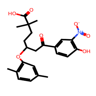 Cc1ccc(C)c(OC(CCC(C)(C)C(=O)O)CC(=O)c2ccc(O)c([N+](=O)[O-])c2)c1